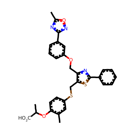 Cc1nc(-c2cccc(OCc3nc(-c4ccccc4)sc3CSc3ccc(OC(C)C(=O)O)c(C)c3)c2)no1